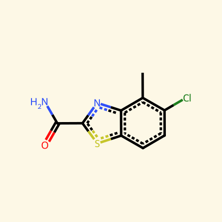 Cc1c(Cl)ccc2sc(C(N)=O)nc12